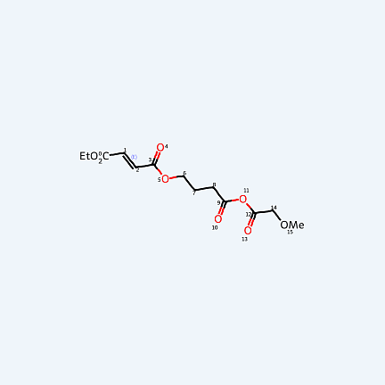 CCOC(=O)/C=C/C(=O)OCCCC(=O)OC(=O)COC